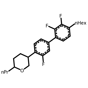 CCCCCCc1ccc(-c2ccc(C3CCC(CCC)OC3)c(F)c2)c(F)c1F